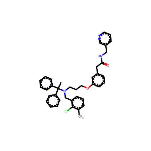 CC(c1ccccc1)(c1ccccc1)N(CCCOc1cccc(CC(=O)NCc2cccnc2)c1)Cc1cccc(C(F)(F)F)c1Cl